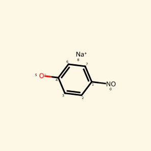 O=Nc1ccc([O-])cc1.[Na+]